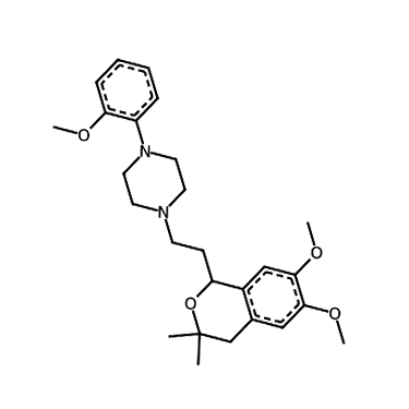 COc1cc2c(cc1OC)C(CCN1CCN(c3ccccc3OC)CC1)OC(C)(C)C2